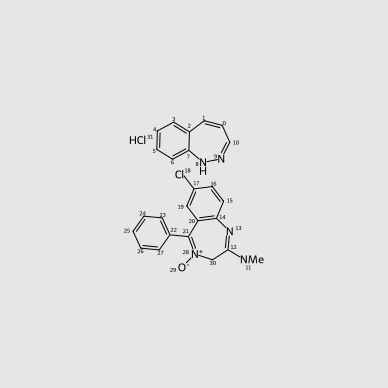 C1=Cc2ccccc2NN=C1.CNC1=Nc2ccc(Cl)cc2C(c2ccccc2)=[N+]([O-])C1.Cl